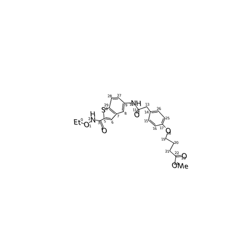 CCONC(=O)c1cc2cc(NC(=O)Cc3ccc(OCCCC(=O)OC)cc3)ccc2s1